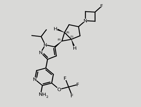 CC(C)n1nc(-c2cnc(N)c(OC(F)(F)F)c2)cc1[C@H]1[C@@H]2CC(N3CC(F)C3)C[C@@H]21